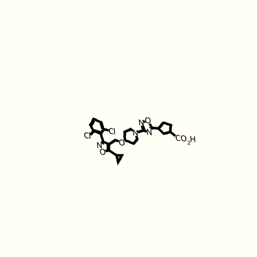 O=C(O)C1CCC(c2nc(N3CCC(OCc4c(-c5c(Cl)cccc5Cl)noc4C4CC4)CC3)no2)C1